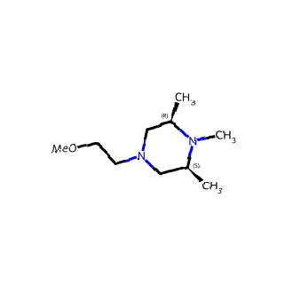 COCCN1C[C@@H](C)N(C)[C@@H](C)C1